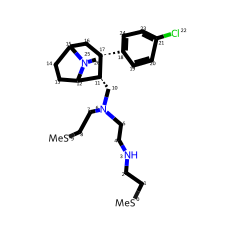 CSCCNCCN(CCSC)C[C@@H]1C2CCC(C[C@@H]1c1ccc(Cl)cc1)N2C